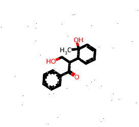 CC1(O)C=CC=CC1C(CO)C(=O)c1ccccc1